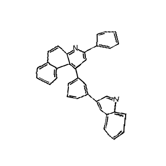 c1ccc(-c2cc(-c3cccc(-c4cnc5ccccc5c4)c3)c3c(ccc4ccccc43)n2)cc1